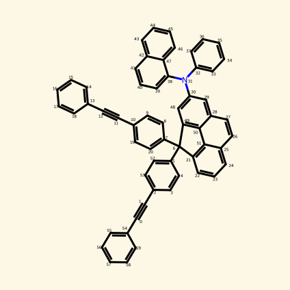 C(#Cc1ccc(C2(c3ccc(C#Cc4ccccc4)cc3)c3cccc4ccc5cc(N(c6ccccc6)c6cccc7ccccc67)cc2c5c34)cc1)c1ccccc1